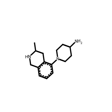 CC1Cc2c(cccc2N2CCC(N)CC2)CN1